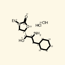 CCN1C[C@@H](C(O)C(N)CC2CCCCC2)OC1=O.Cl.Cl